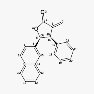 C=C1C(=O)O[C@H](c2ccc3ccccc3c2)[C@@H]1c1ccccc1